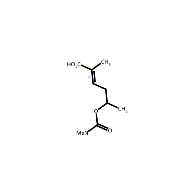 CNC(=O)OC(C)C/C=C(\C)C(=O)O